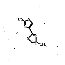 CCc1nc(C2=N[C@@H](C)CS2)cs1